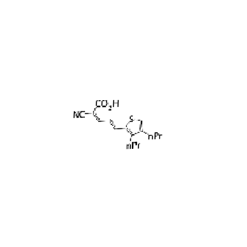 CCCc1csc(C=CC=C(C#N)C(=O)O)c1CCC